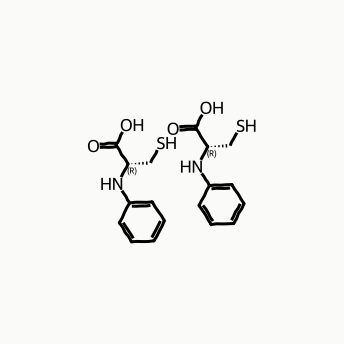 O=C(O)[C@H](CS)Nc1ccccc1.O=C(O)[C@H](CS)Nc1ccccc1